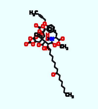 CC#CCOc1ccc(C[C@H](NC(=O)[C@@H](C=CCCCCCCC(=O)CCCCCCC)[C@@](O)(C(=O)O)C(Cc2oc(=O)oc2C)(Cc2oc(=O)oc2C)C(=O)O)C(=O)OC)cc1